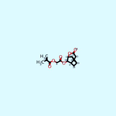 C=C(C)C(=O)OCC(=O)OC1C2OC(=O)CC34C1CC3C24